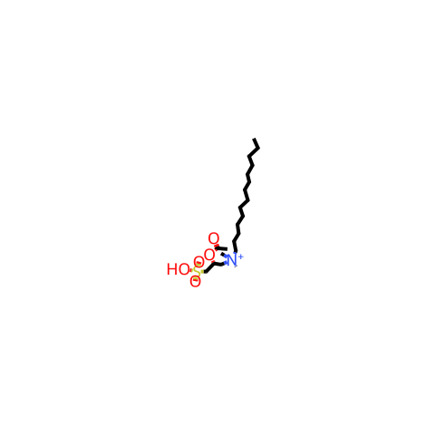 CCCCCCCCCCCCCC[N+](C)(C)CC(CS(=O)(=O)O)OC(C)=O